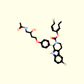 CC/C=C(\C=C/CCl)OC(=O)N1CCc2c([nH]c3ccc(Cl)cc23)[C@@H]1c1ccc(OCCC(O)CNC(C)=O)cc1